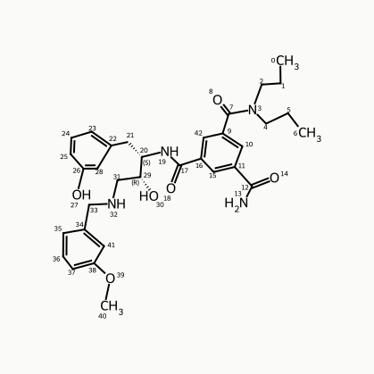 CCCN(CCC)C(=O)c1cc(C(N)=O)cc(C(=O)N[C@@H](Cc2cccc(O)c2)[C@H](O)CNCc2cccc(OC)c2)c1